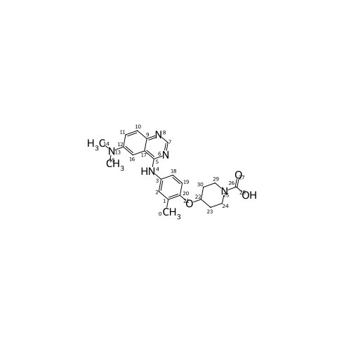 Cc1cc(Nc2ncnc3ccc(N(C)C)cc23)ccc1OC1CCN(C(=O)O)CC1